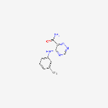 NC(=O)c1nncnc1Nc1cccc(C(F)(F)F)c1